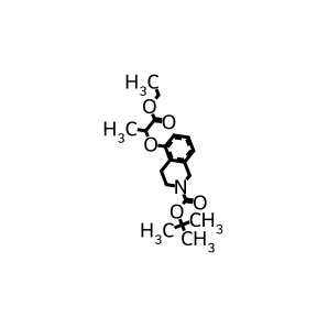 CCOC(=O)C(C)Oc1cccc2c1CCN(C(=O)OC(C)(C)C)C2